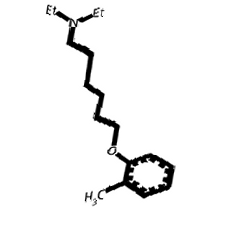 CCN(CC)CCCCCCOc1ccccc1C